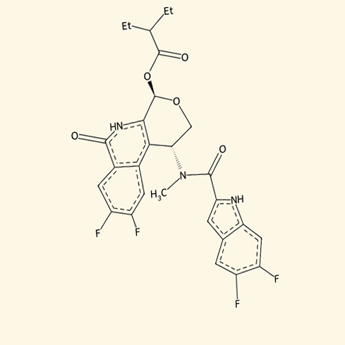 CCC(CC)C(=O)O[C@H]1OC[C@H](N(C)C(=O)c2cc3cc(F)c(F)cc3[nH]2)c2c1[nH]c(=O)c1cc(F)c(F)cc21